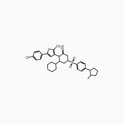 CC1CCCN1c1ccc(S(=O)(=O)N2CC(=O)N(c3cc(-c4ccc(Cl)cc4)sc3C(=O)O)C(C3CCCCC3)C2)cc1